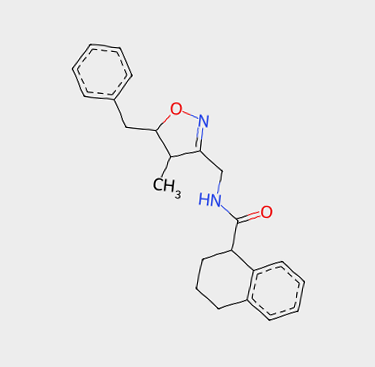 CC1C(CNC(=O)C2CCCc3ccccc32)=NOC1Cc1ccccc1